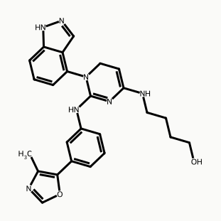 Cc1ncoc1-c1cccc(NC2=NC(NCCCCO)=CCN2c2cccc3[nH]ncc23)c1